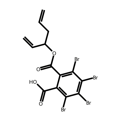 C=CCC(C=C)OC(=O)c1c(Br)c(Br)c(Br)c(Br)c1C(=O)O